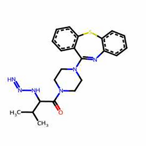 CC(C)C(NN=N)C(=O)N1CCN(C2=Nc3ccccc3Sc3ccccc32)CC1